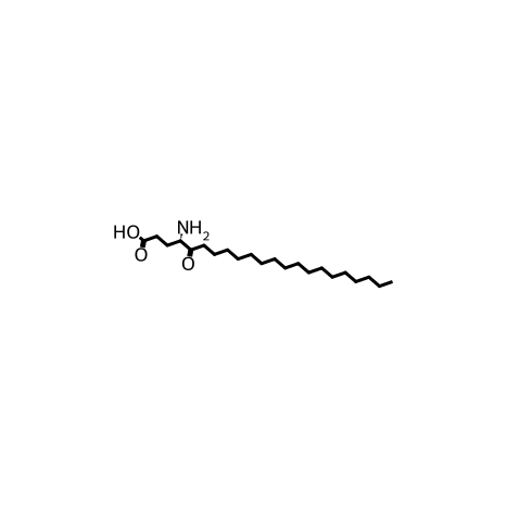 CCCCCCCCCCCCCCCCCC(=O)[C@@H](N)CCC(=O)O